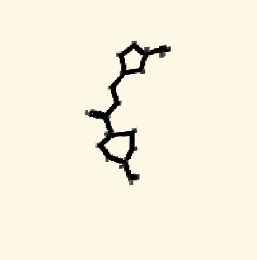 CC(C)(C)N1CCN(C(=O)CC[C@H]2CCN(C(C)(C)C)C2)CC1